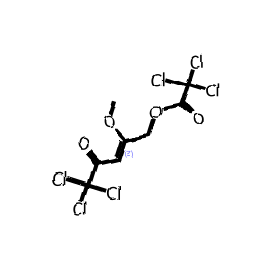 CO/C(=C\C(=O)C(Cl)(Cl)Cl)COC(=O)C(Cl)(Cl)Cl